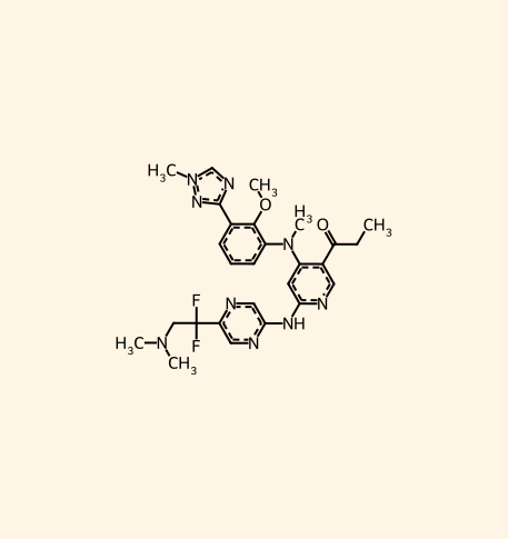 CCC(=O)c1cnc(Nc2cnc(C(F)(F)CN(C)C)cn2)cc1N(C)c1cccc(-c2ncn(C)n2)c1OC